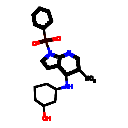 O=[N+]([O-])c1cnc2c(ccn2S(=O)(=O)c2ccccc2)c1N[C@@H]1CCC[C@@H](O)C1